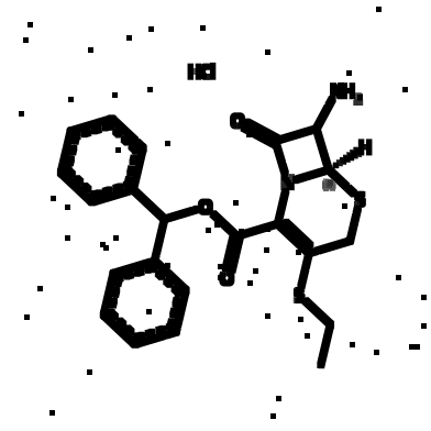 CCSC1=C(C(=O)OC(c2ccccc2)c2ccccc2)N2C(=O)C(N)[C@H]2SC1.Cl